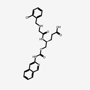 O=C(O)CC[C@@H](COC(=O)Nc1cc2ccccc2cn1)NC(=O)CNCc1ccccc1Cl